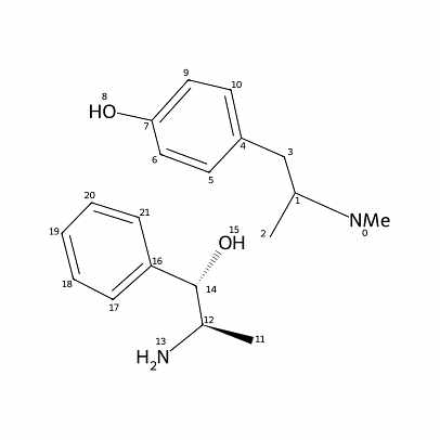 CNC(C)Cc1ccc(O)cc1.C[C@@H](N)[C@@H](O)c1ccccc1